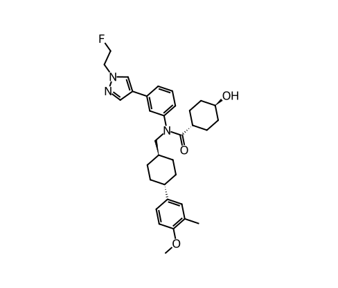 COc1ccc([C@H]2CC[C@H](CN(c3cccc(-c4cnn(CCF)c4)c3)C(=O)[C@H]3CC[C@H](O)CC3)CC2)cc1C